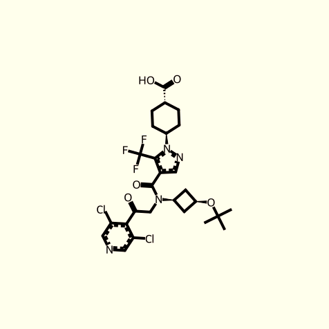 CC(C)(C)O[C@H]1C[C@@H](N(CC(=O)c2c(Cl)cncc2Cl)C(=O)c2cnn([C@H]3CC[C@H](C(=O)O)CC3)c2C(F)(F)F)C1